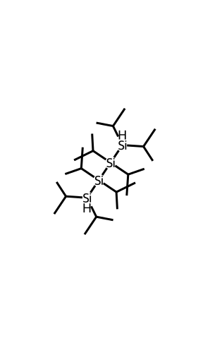 CC(C)[SiH](C(C)C)[Si](C(C)C)(C(C)C)[Si](C(C)C)(C(C)C)[SiH](C(C)C)C(C)C